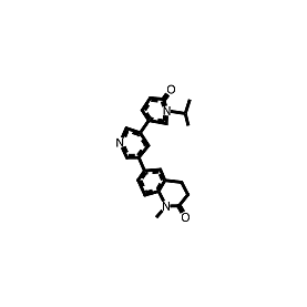 CC(C)n1cc(-c2cncc(-c3ccc4c(c3)CCC(=O)N4C)c2)ccc1=O